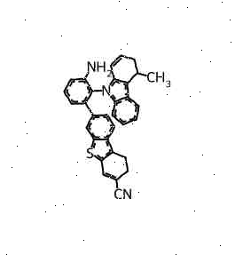 CC1CC=Cc2c1c1ccccc1n2-c1c(N)cccc1-c1ccc2c3c(sc2c1)C=C(C#N)CC3